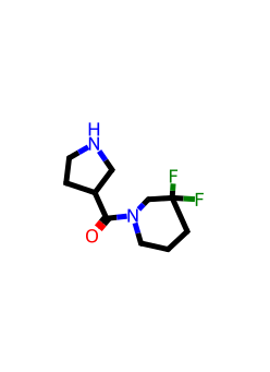 O=C(C1CCNC1)N1CCCC(F)(F)C1